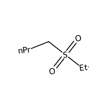 C[CH]S(=O)(=O)CCCC